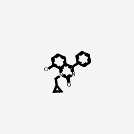 O=c1nc(-c2ccccc2)c2cccc(Cl)c2n1CC1CC1